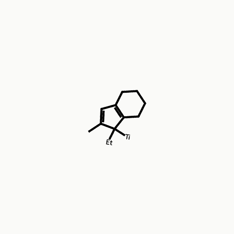 CC[C]1([Ti])C(C)=CC2=C1CCCC2